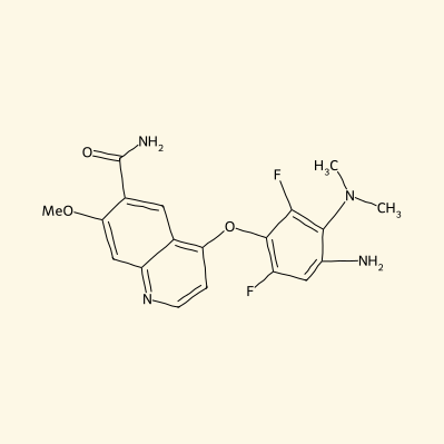 COc1cc2nccc(Oc3c(F)cc(N)c(N(C)C)c3F)c2cc1C(N)=O